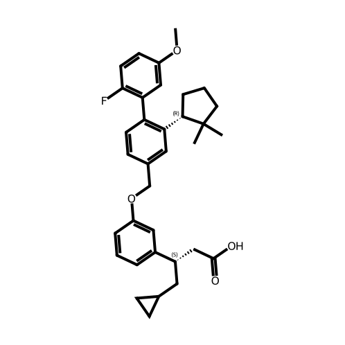 COc1ccc(F)c(-c2ccc(COc3cccc([C@H](CC(=O)O)CC4CC4)c3)cc2[C@@H]2CCCC2(C)C)c1